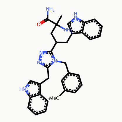 COc1cccc(Cn2c(Cc3c[nH]c4ccccc34)nnc2C(Cc2c[nH]c3ccccc23)CC(C)(N)C(N)=O)c1